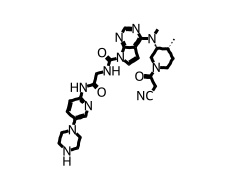 C[C@@H]1CCN(C(=O)CC#N)C[C@@H]1N(C)c1ncnc2c1ccn2C(=O)NCC(=O)Nc1ccc(N2CCNCC2)cn1